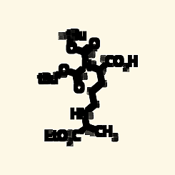 CCOC(=O)[C@H](C)NCCC[C@H](C(=O)O)N(C(=O)OC(C)(C)C)C(=O)OC(C)(C)C